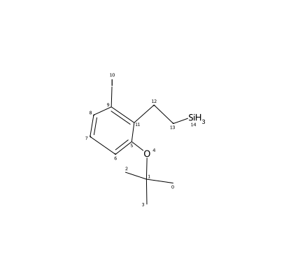 CC(C)(C)Oc1cccc(I)c1CC[SiH3]